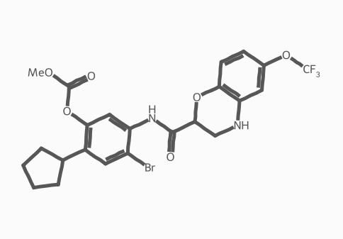 COC(=O)Oc1cc(NC(=O)C2CNc3cc(OC(F)(F)F)ccc3O2)c(Br)cc1C1CCCC1